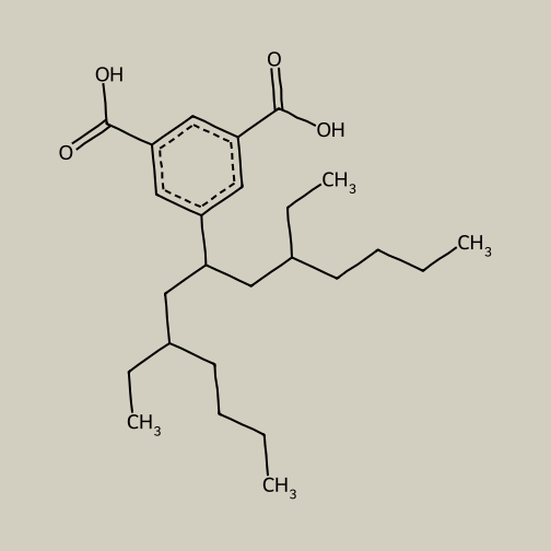 CCCCC(CC)CC(CC(CC)CCCC)c1cc(C(=O)O)cc(C(=O)O)c1